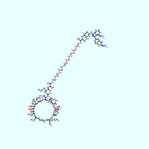 CO[C@H]1C[C@@H]2CC[C@@H](C)[C@@](O)(O2)C(=O)C(=O)N2CCCC[C@H]2C(=O)O[C@H]([C@H](N)C[C@@H]2CC[C@@H](OC(=O)NCCOCCOCCOCCOCCOCCOCCOCCOCC(=O)N3CCc4cc(Cn5nc(-c6ccc7oc(N)nc7c6)c6c(N)cccc65)ccc4C3)[C@H](OC)C2)C[C@@H](O)[C@H](C)/C=C(\C)[C@@H](O)[C@@H](O)C(=O)[C@H](C)C[C@H](C)/C=C/C=C/C=C/1C